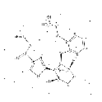 CCCCCNC(=O)c1coc([C@H]2[C@@H](Cc3ccccc3CCC(=O)O)[C@@H]3CC[C@H]2O3)n1.[KH]